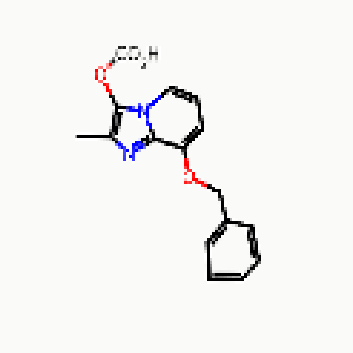 Cc1nc2c(OCc3ccccc3)cccn2c1OC(=O)O